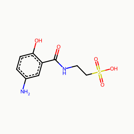 Nc1ccc(O)c(C(=O)NCCS(=O)(=O)O)c1